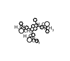 CC12CCCCCCC1(C)N(c1ccccc1)c1ccc(-c3cc(-c4ccccc4)c4ccc5c(-c6ccc7c(c6)C6(C)CCCCCCC6(C)N7c6ccccc6)cc(-c6ccc7c(c6)C6(C)CCCCCCC6(C)N7c6ccccc6)c6ccc3c4c56)cc12